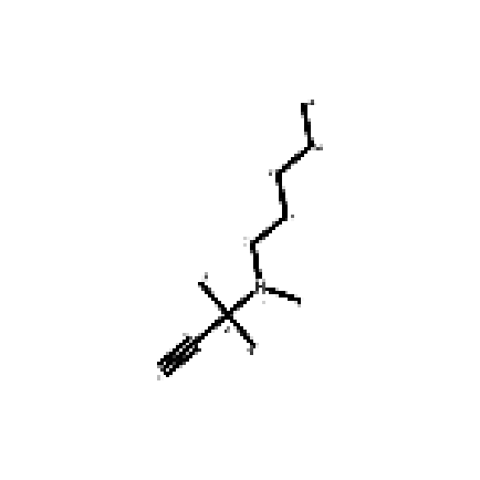 C#CC(C)(C)N(C)CCCCC